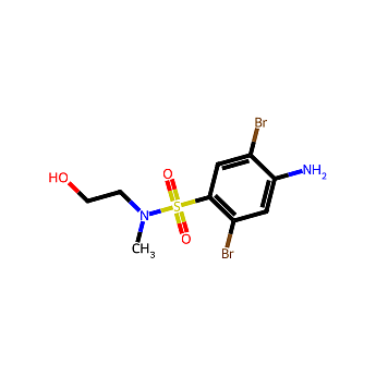 CN(CCO)S(=O)(=O)c1cc(Br)c(N)cc1Br